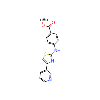 CCCCOC(=O)c1ccc(Nc2nc(-c3cccnc3)cs2)cc1